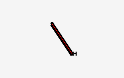 B=S=S=S=S=S=S=S=S=S=S=S=S=S=S=S=S=S=S=S=S=S=S=S=S=S=S=S=S=S=S=S=S=S=S=S=S=S=S=S=S=S=S=S=S=S=S=S=S=S=S=S=S=S=S=S=S=S=S=S